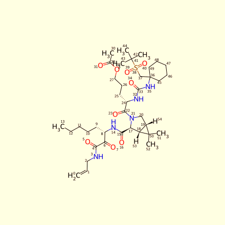 C=CCNC(=O)C(=O)[C@H](CCCCC)NC(=O)[C@@H]1[C@@H]2[C@H](CN1C(=O)[C@H](CCCOC(C)=O)NC(=O)NC1(CS(=O)(=O)C(C)(C)C)CCCCC1)C2(C)C